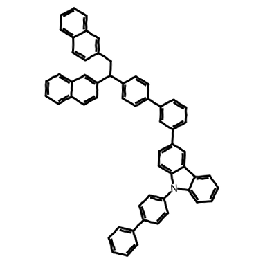 c1ccc(-c2ccc(-n3c4ccccc4c4cc(-c5cccc(-c6ccc(C(Cc7ccc8ccccc8c7)c7ccc8ccccc8c7)cc6)c5)ccc43)cc2)cc1